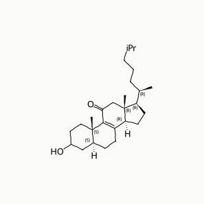 CC(C)CCC[C@@H](C)[C@H]1CC[C@H]2C3=C(C(=O)C[C@]12C)[C@@]1(C)CCC(O)C[C@@H]1CC3